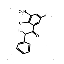 O=C(c1cc(F)cc([N+](=O)[O-])c1Cl)C(O)c1ccccc1